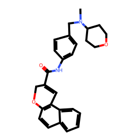 CN(Cc1ccc(NC(=O)C2=Cc3c(ccc4ccccc34)OC2)cc1)C1CCOCC1